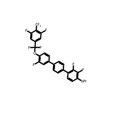 CCCc1ccc(-c2ccc(-c3ccc(OC(F)(F)c4cc(F)c(C(F)(F)F)c(F)c4)c(F)c3)cc2)c(F)c1F